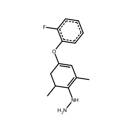 CC1=C(NN)C(C)CC(Oc2ccccc2F)=C1